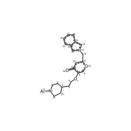 CC(=O)N1CCC(CCOc2coc(Cn3cc4ccccc4c3)cc2=O)CC1